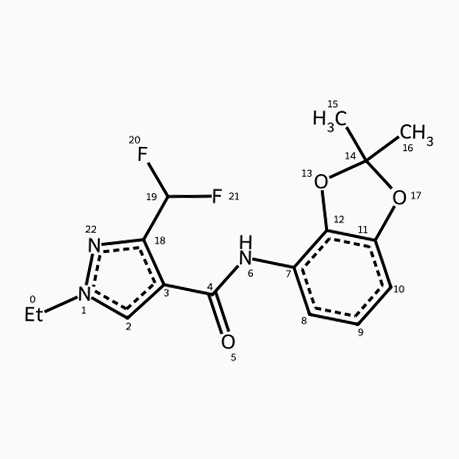 CCn1cc(C(=O)Nc2cccc3c2OC(C)(C)O3)c(C(F)F)n1